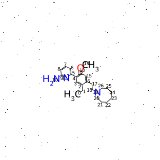 CCc1cc(-c2cccc(N)n2)c(OC)cc1CCN1CCCCCCC1